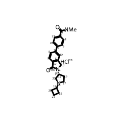 CNC(=O)c1ccc(-c2ccc3c(c2)CN([C@@H]2CCN(C4CCC4)C2)C3=O)cc1.Cl